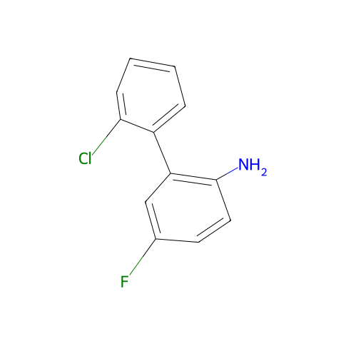 Nc1ccc(F)cc1-c1ccccc1Cl